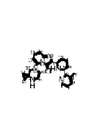 Cc1cccnc1[C@@H]1CCC[C@H](c2nc3cccc(N4CCNC5(CC5)C4)n3c2Cl)N1